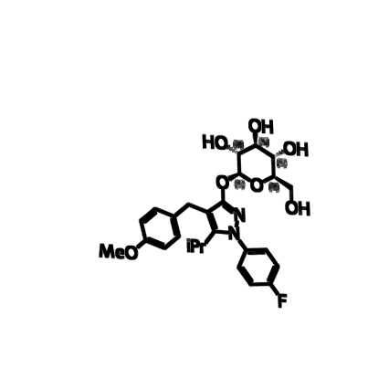 COc1ccc(Cc2c(O[C@@H]3O[C@H](CO)[C@@H](O)[C@H](O)[C@H]3O)nn(-c3ccc(F)cc3)c2C(C)C)cc1